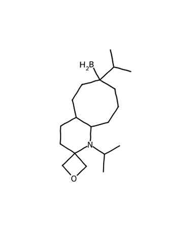 BC1(C(C)C)CCCC2C(CC1)CCC1(COC1)N2C(C)C